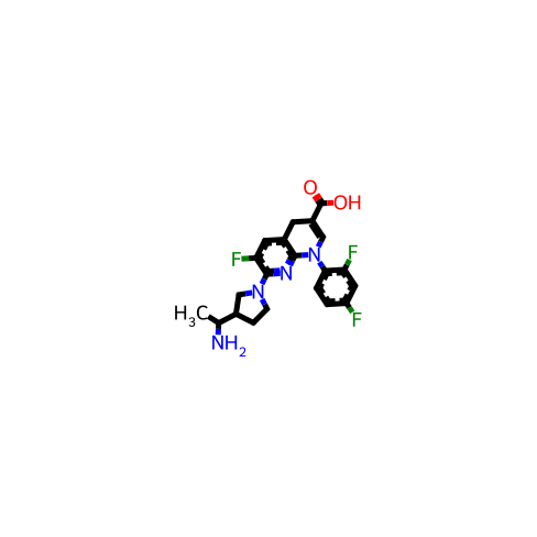 CC(N)C1CCN(c2nc3c(cc2F)CC(C(=O)O)=CN3c2ccc(F)cc2F)C1